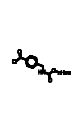 CCCCCCOC(=O)NCc1ccc(C(=O)Cl)cc1